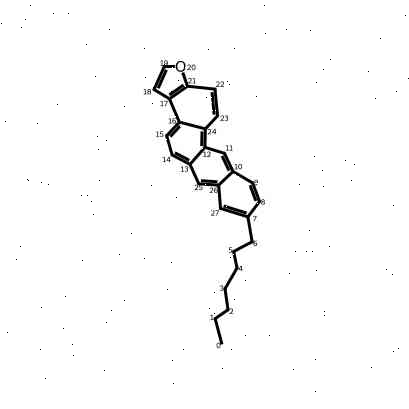 CCCCCCCc1ccc2cc3c(ccc4c5ccoc5ccc34)cc2c1